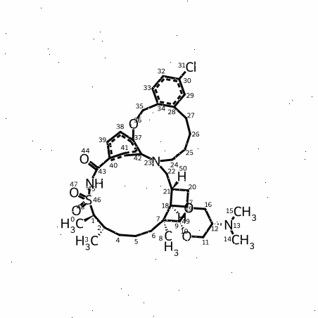 C[C@@H]1[C@@H](C)CCC[C@](C)([C@H]2OC[C@@H](N(C)C)CO2)[C@@H]2CC[C@H]2CN2CCCCc3cc(Cl)ccc3COc3ccc(cc32)C(=O)NS1(=O)=O